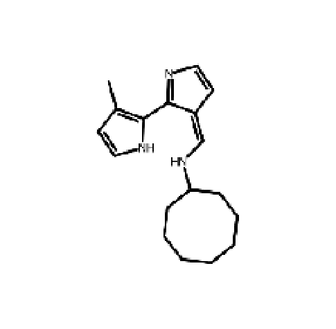 Cc1cc[nH]c1C1=NC=CC1=CNC1CCCCCCC1